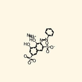 O=S(=O)([O-])c1cc(O)c2c(O)c(/N=N/c3ccccc3)c(S(=O)(=O)[O-])cc2c1.[Na+].[Na+]